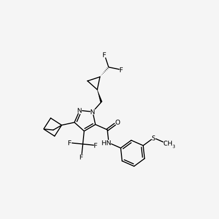 CSc1cccc(NC(=O)c2c(C(F)(F)F)c(C34CC(C3)C4)nn2C[C@H]2C[C@@H]2C(F)F)c1